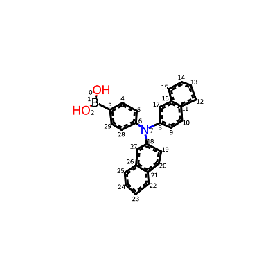 OB(O)c1ccc(N(c2ccc3ccccc3c2)c2ccc3ccccc3c2)cc1